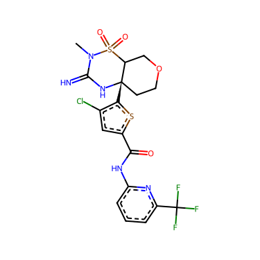 CN1C(=N)N[C@@]2(c3sc(C(=O)Nc4cccc(C(F)(F)F)n4)cc3Cl)CCOCC2S1(=O)=O